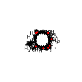 CC[C@H](C)[C@@H]1NC(=O)[C@H](CC(C)C)N(C)C(=O)C[C@@H](C(=O)N2CCCCC2)N(C)C(=O)[C@H](C2CCCC2)N(C)C(=O)C2(CCCC2)NC(=O)[C@@H](COCCC(C)C)N(C)C(=O)[C@H](CCc2ccc(C(F)(F)F)c(Cl)c2)NC(=O)CN(C)C(=O)[C@H](CC2CCCCC2)N(C)C(=O)[C@@H]2CCN2C(=O)[C@H](C)N(C)C1=O